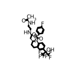 CC(=O)NCCNC(=O)C[C@@H]1CCc2cc(C(O)(C(F)(F)F)C(F)(F)F)ccc2N1S(=O)(=O)c1ccc(F)cc1